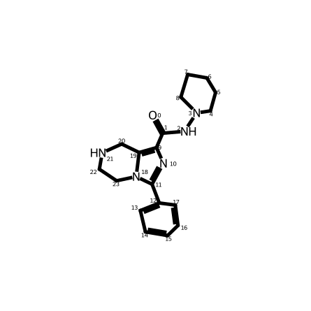 O=C(NN1CCCCC1)c1nc(-c2ccccc2)n2c1CNCC2